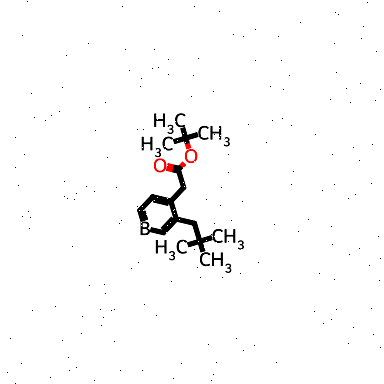 CC(C)(C)Cc1cbccc1CC(=O)OC(C)(C)C